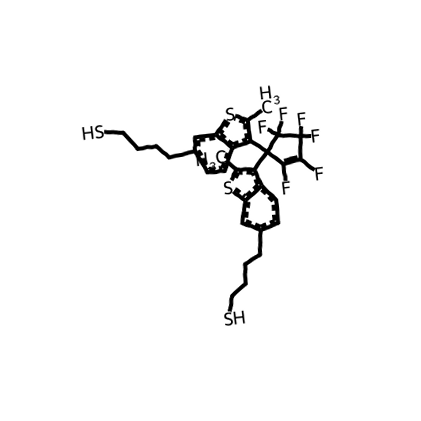 Cc1sc2cc(CCCCS)ccc2c1C1(c2c(C)sc3cc(CCCCS)ccc23)C(F)=C(F)C(F)(F)C1(F)F